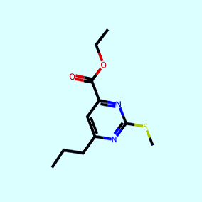 CCCc1cc(C(=O)OCC)nc(SC)n1